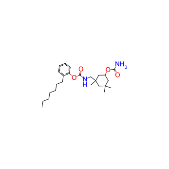 CCCCCCCc1ccccc1OC(=O)NCC1(C)CC(OC(N)=O)CC(C)(C)C1